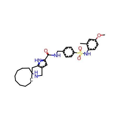 COc1ccc(NS(=O)(=O)c2ccc(CNC(=O)c3cc4c([nH]3)CC3(CCCCCCCCC3)NC4)cc2)c(C)c1